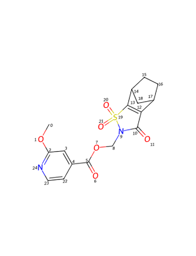 COc1cc(C(=O)OCN2C(=O)C3=C(C4CCC3C4)S2(=O)=O)ccn1